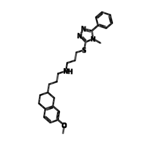 COc1ccc2c(c1)CC(CCCNCCCSc1nnc(-c3ccccc3)n1C)CC2